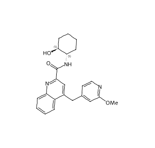 COc1cc(Cc2cc(C(=O)N[C@H]3CCCC[C@@H]3O)nc3ccccc23)ccn1